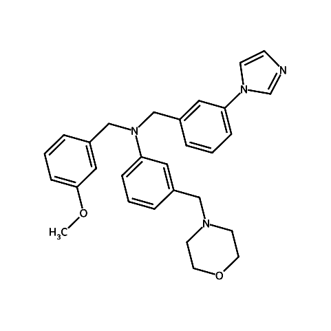 COc1cccc(CN(Cc2cccc(-n3ccnc3)c2)c2cccc(CN3CCOCC3)c2)c1